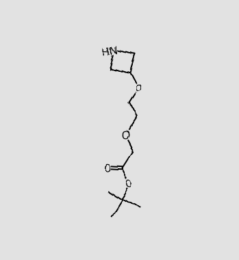 CC(C)(C)OC(=O)COCCOC1CNC1